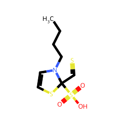 CCCCN1C=CSC1(C=S)S(=O)(=O)O